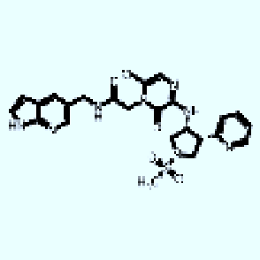 CS(=O)(=O)N1C[C@@H](Nc2ncc(Cl)n(CC(=O)NCc3cnc4[nH]ccc4c3)c2=O)[C@H](c2ccccn2)C1